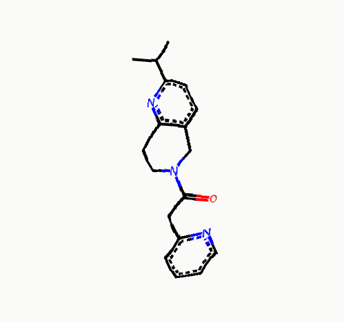 CC(C)c1ccc2c(n1)CCN(C(=O)Cc1ccccn1)C2